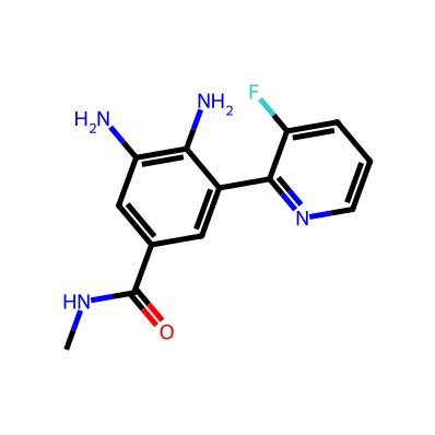 CNC(=O)c1cc(N)c(N)c(-c2ncccc2F)c1